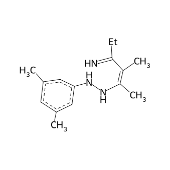 CCC(=N)C(C)=C(C)NNc1cc(C)cc(C)c1